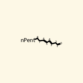 C=CCC=CC=CCCCCCCC